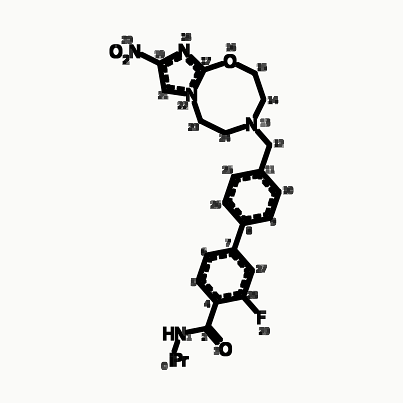 CC(C)NC(=O)c1ccc(-c2ccc(CN3CCOc4nc([N+](=O)[O-])cn4CC3)cc2)cc1F